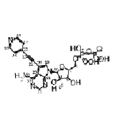 C[C@@]1(O)C(O)C(COP(=O)(O)OP(=O)(O)O)OC1n1cc(C#Cc2ccncc2)c2c(N)ncnc21